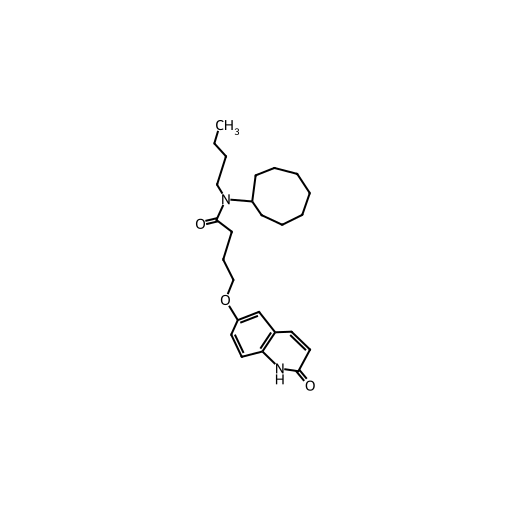 CCCCN(C(=O)CCCOc1ccc2[nH]c(=O)ccc2c1)C1CCCCCCC1